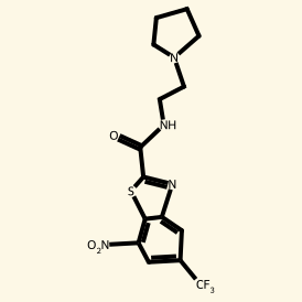 O=C(NCCN1CCCC1)c1nc2cc(C(F)(F)F)cc([N+](=O)[O-])c2s1